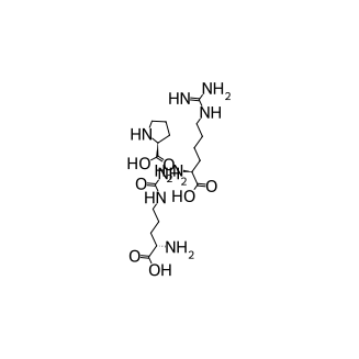 N=C(N)NCCCC[C@H](N)C(=O)O.NC(=O)NCCC[C@H](N)C(=O)O.O=C(O)[C@@H]1CCCN1